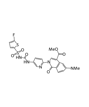 CNc1ccc2c(=O)n(-c3ccc(NC(=O)NS(=O)(=O)c4ccc(F)s4)cn3)cc(C(=O)OC)c2c1